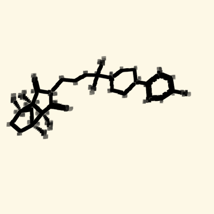 [2H]c1cnc(N2CCN(C([2H])([2H])CCCN3C(=O)[C@@]4([2H])[C@H]5CC[C@H](C5)[C@@]4([2H])C3=O)CC2)nc1